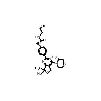 CC1COCCN1c1nc(-c2ccc(NC(=O)NCCO)cc2)nc2c1COC2(C)C